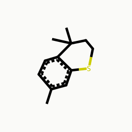 Cc1ccc2c(c1)SCCC2(C)C